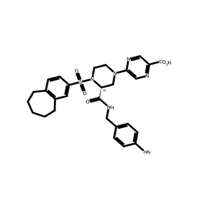 CCCc1ccc(CNC(=O)[C@H]2CN(c3cnc(C(=O)O)cn3)CCN2S(=O)(=O)c2ccc3c(c2)CCCCC3)cc1